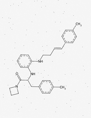 Cc1ccc(C=CCCNc2ccccc2NC(Cc2ccc(C)cc2)C(=O)N2CCC2)cc1